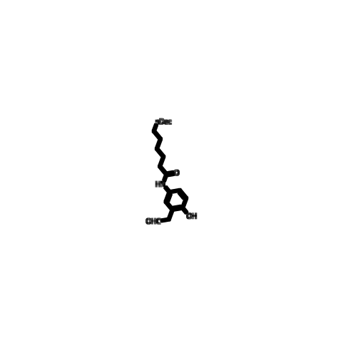 CCCCCCCCCCCCCCCC(=O)Nc1ccc(O)c(CC=O)c1